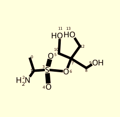 CC(N)S(=O)(=O)OC(CO)(CO)CO